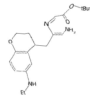 CCNc1ccc2c(c1)C(CC(=C/N)/N=C\C(=O)OC(C)(C)C)CCO2